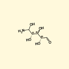 NC(O)[C@@H](O)[C@@H](O)[C@@H](O)C=O